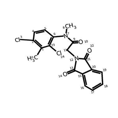 Cc1c(Cl)ccc(N(C)C(=O)CN2C(=O)c3ccccc3C2=O)c1Cl